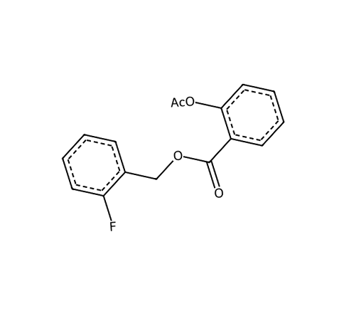 CC(=O)Oc1ccccc1C(=O)OCc1ccccc1F